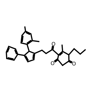 CCCC1C(=O)CC(=O)C(C(=O)CCC2=CC=C(c3ccccc3)C2c2ccc(C)cc2C)=C1C